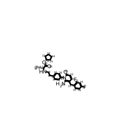 CC(C)[C@H](NCCc1ccc(-n2c(N)c(Cc3ccc(F)cc3F)ccc2=O)cc1)C(=O)OC1CCCC1